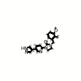 COc1cccc(CN2CCN(c3ccc(-c4cn[nH]c4)cn3)C2=O)c1F